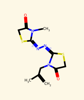 C=C(C)CN1C(=O)CS/C1=N/N=C1/SCC(=O)N1C